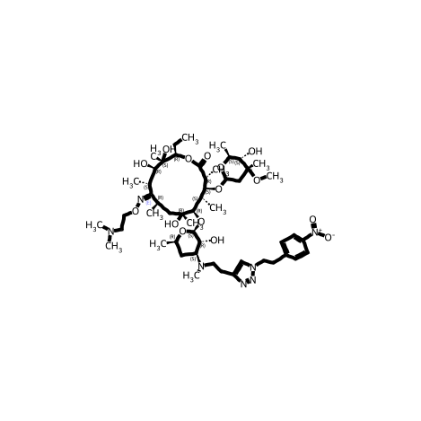 CC[C@H]1OC(=O)[C@H](C)[C@@H](OC2C[C@@](C)(OC)[C@@H](O)[C@H](C)O2)[C@H](C)[C@@H](O[C@@H]2O[C@H](C)C[C@H](N(C)CCc3cn(CCc4ccc([N+](=O)[O-])cc4)nn3)[C@H]2O)[C@](C)(O)C[C@@H](C)/C(=N\OCCN(C)C)[C@H](C)[C@@H](O)[C@]1(C)O